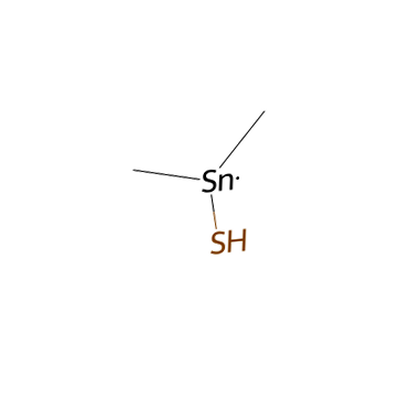 [CH3][Sn]([CH3])[SH]